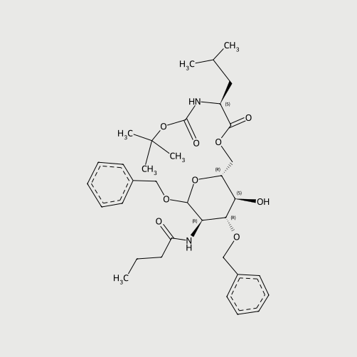 CCCC(=O)N[C@H]1C(OCc2ccccc2)O[C@H](COC(=O)[C@H](CC(C)C)NC(=O)OC(C)(C)C)[C@@H](O)[C@@H]1OCc1ccccc1